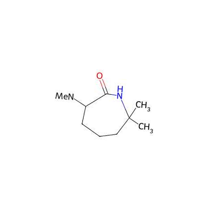 CNC1CCCC(C)(C)NC1=O